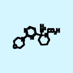 NC1(c2ccnc(N3CCOCC3)n2)CCCCN1C(=O)O